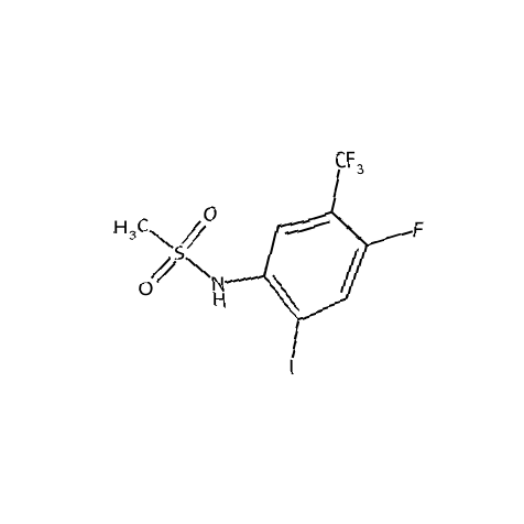 CS(=O)(=O)Nc1cc(C(F)(F)F)c(F)cc1I